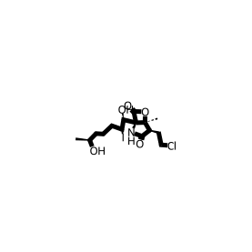 C[C@H](O)CCC[C@@H](I)[C@H](O)[C@@]12NC(=O)[C@H](CCCl)[C@]1(C)OC2=O